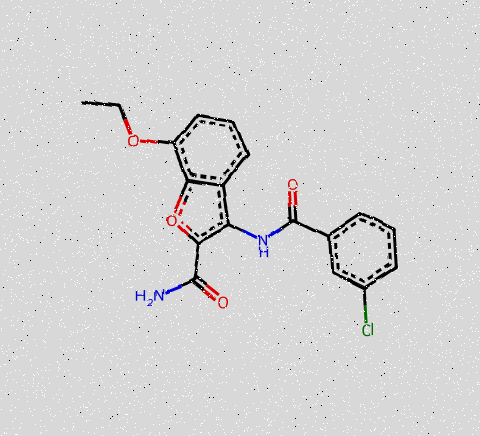 CCOc1cccc2c(NC(=O)c3cccc(Cl)c3)c(C(N)=O)oc12